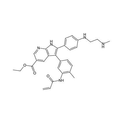 C=CC(=O)Nc1cc(-c2c(-c3ccc(NCCNC)cc3)[nH]c3ncc(C(=O)OCC)cc23)ccc1C